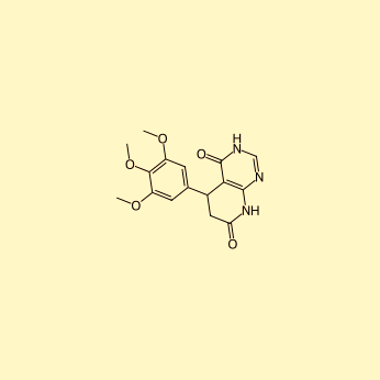 COc1cc(C2CC(=O)Nc3nc[nH]c(=O)c32)cc(OC)c1OC